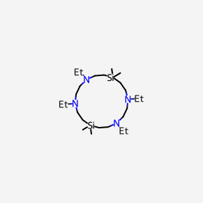 CCN1CCN(CC)CC[Si](C)(C)CCN(CC)CCN(CC)CC[Si](C)(C)CC1